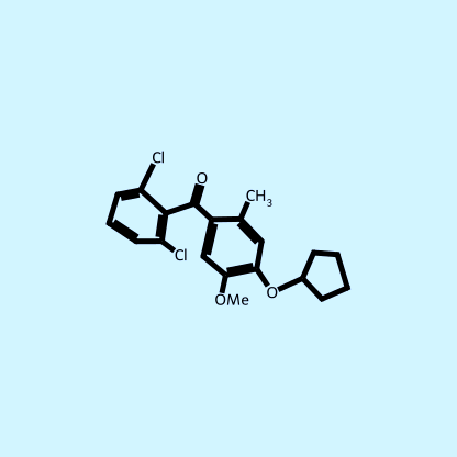 COc1cc(C(=O)c2c(Cl)cccc2Cl)c(C)cc1OC1CCCC1